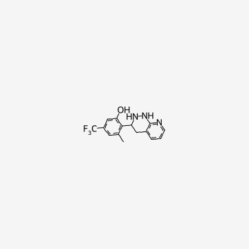 Cc1cc(C(F)(F)F)cc(O)c1C1Cc2cccnc2NN1